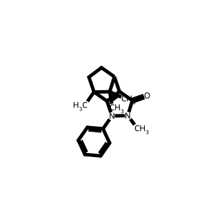 Cn1c(=O)c2c(n1-c1ccccc1)C1(C)CCC2C1(C)C